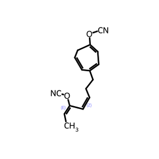 C/C=C(\C=C/CCC1=CC=C(OC#N)CC=C1)OC#N